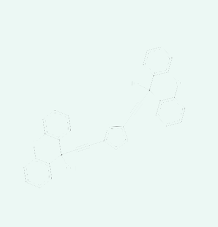 OC1(C#Cc2ccc(C#CC3(O)c4ccccc4Oc4ccccc43)s2)c2ccccc2Oc2ccccc21